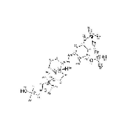 C=C1C(=CC=C2CCC[C@@]3(C)[C@H]2CC[C@@H]3[C@]2(C)C[C@@H](CC(C)(C)O)CO2)CC(O[Si](CC)(CC)CC)C[C@@H]1O[Si](CC)(CC)CC